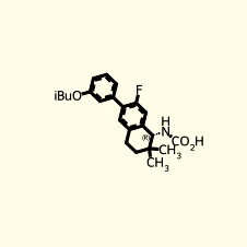 CC(C)COc1cccc(-c2cc3c(cc2F)[C@H](NC(=O)O)C(C)(C)CC3)c1